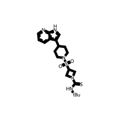 CC(C)(C)NC(=S)N1CC(S(=O)(=O)N2CCC(c3c[nH]c4ncccc34)CC2)C1